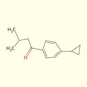 CC(C)CC(=O)c1ccc(C2CC2)cc1